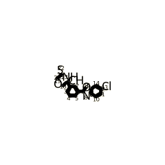 CC1(c2cccc(-c3nc4ccc(Cl)cc4o3)c2)COCC(=S)N1